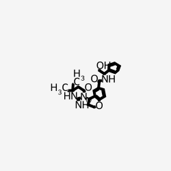 CCC1(CC)CC(=O)N([C@@H]2CCOc3ccc(C(=O)NC(CO)c4ccccc4)cc32)C(=N)N1